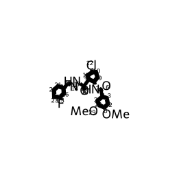 COc1ccc(C(=O)Nc2ccc(Cl)cc2C(=O)N/N=C/c2cccc(F)c2)cc1OC